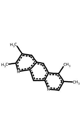 Cc1cc2cc3c(C)c(C)cnc3cc2nc1C